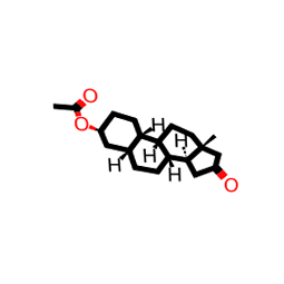 CC(=O)O[C@H]1CC[C@H]2[C@H](CC[C@@H]3[C@H]2CC[C@]2(C)CC(=O)C[C@@H]32)C1